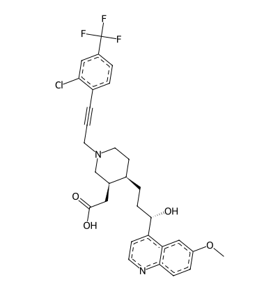 COc1ccc2nccc([C@@H](O)CC[C@@H]3CCN(CC#Cc4ccc(C(F)(F)F)cc4Cl)C[C@@H]3CC(=O)O)c2c1